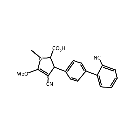 COC1=C(C#N)C(c2ccc(-c3ccccc3C#N)cc2)C(C(=O)O)N1C